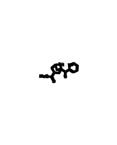 COC(=O)C1CC2CC(C(=O)c3ccccn3)(C1)N2